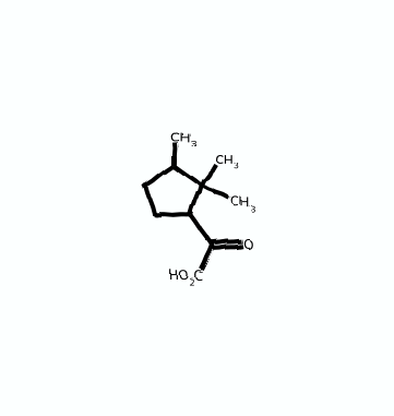 CC1CCC(C(=O)C(=O)O)C1(C)C